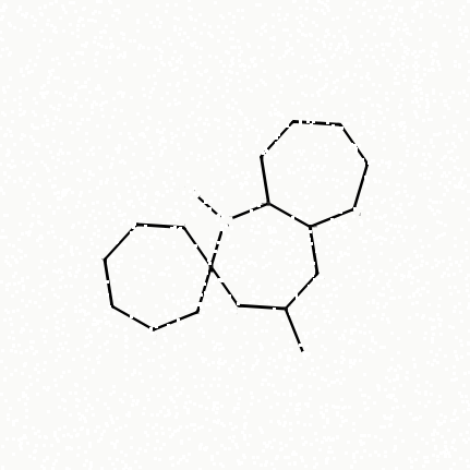 CC1CC2CCCCCC2N(O)C2(CCCCCC2)C1